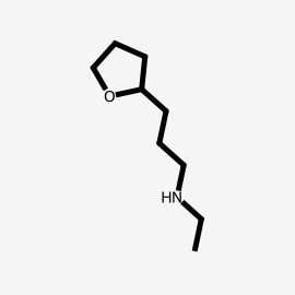 CCNCCCC1CCCO1